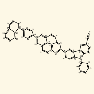 N#Cc1ccc2c(c1)c1cc(-c3cc4ccc5cc(-c6ccc(-c7cccc8cccnc78)cc6)cc6ccc(c3)c4c56)ccc1n2-c1ccccc1